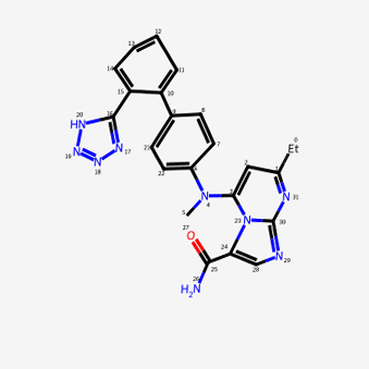 CCc1cc(N(C)c2ccc(-c3ccccc3-c3nnn[nH]3)cc2)n2c(C(N)=O)cnc2n1